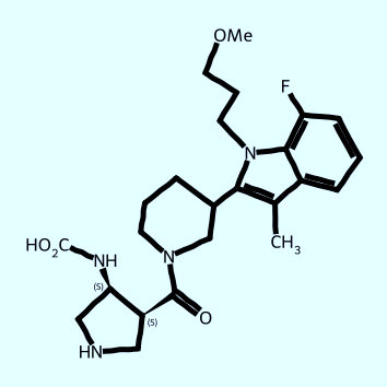 COCCCn1c(C2CCCN(C(=O)[C@H]3CNC[C@H]3NC(=O)O)C2)c(C)c2cccc(F)c21